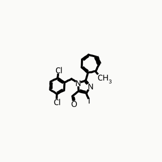 CC1C#CC=CC=C1c1nc(I)c(C=O)n1Cc1cc(Cl)ccc1Cl